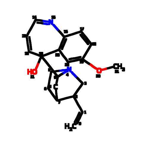 C=CC1CN2CCC1CC2C1(O)C=CC=Nc2ccc(OC)cc21